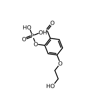 O=Ic1ccc(OCCO)cc1OP(=O)(O)O